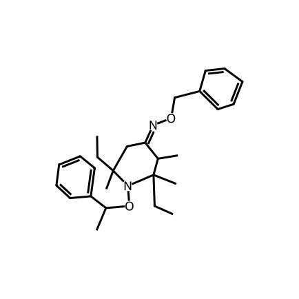 CCC1(C)C/C(=N/OCc2ccccc2)C(C)C(C)(CC)N1OC(C)c1ccccc1